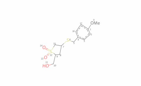 COc1ccc(CSC2CC(CO)S(=O)(=O)C2)cc1